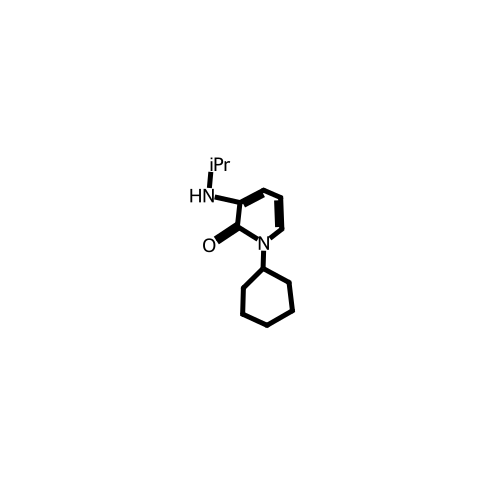 CC(C)Nc1cccn(C2CCCCC2)c1=O